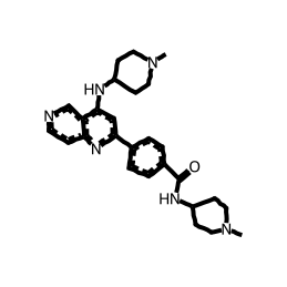 CN1CCC(NC(=O)c2ccc(-c3cc(NC4CCN(C)CC4)c4cnccc4n3)cc2)CC1